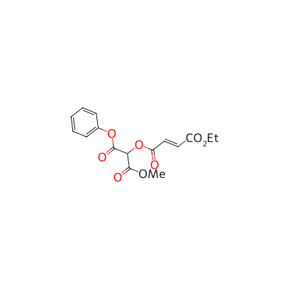 CCOC(=O)/C=C/C(=O)OC(C(=O)OC)C(=O)Oc1ccccc1